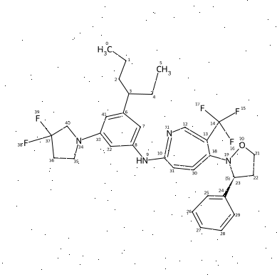 CCCC(CC)c1cc(NC2=NC=C(C(F)(F)F)C(N3OCC[C@H]3c3ccccc3)=C=C2)cc(N2CCC(F)(F)C2)c1